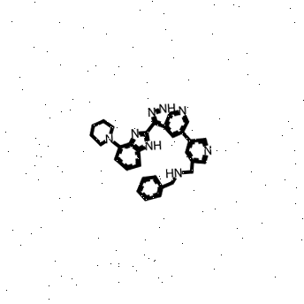 c1ccc(CNCc2cncc(-c3cnc4[nH]nc(-c5nc6c(N7CCCCC7)cccc6[nH]5)c4c3)c2)cc1